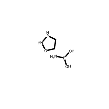 C1CPNO1.NP(O)O